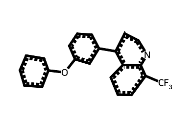 FC(F)(F)c1cccc2c(-c3cccc(Oc4ccccc4)c3)[c]cnc12